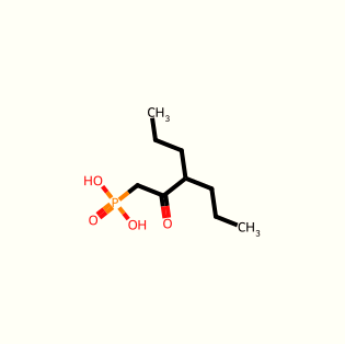 CCCC(CCC)C(=O)CP(=O)(O)O